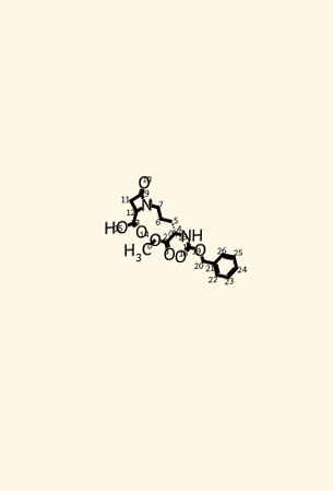 COC(=O)[C@H](CCCN1C(=O)CC1C(=O)O)NC(=O)OCc1ccccc1